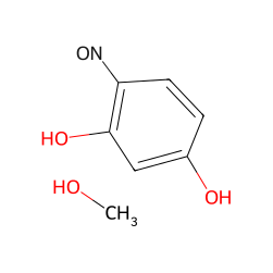 CO.O=Nc1ccc(O)cc1O